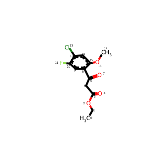 CCOC(=O)CC(=O)c1cc(F)c(Cl)cc1OC